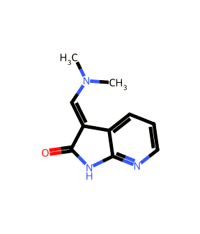 CN(C)/C=C1/C(=O)Nc2ncccc21